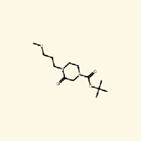 COCCCN1CCN(C(=O)OC(C)(C)C)CC1=O